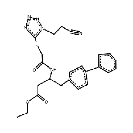 CCOC(=O)CC(Cc1ccc(-c2ccccc2)cc1)NC(=O)CCc1nnnn1CCC#N